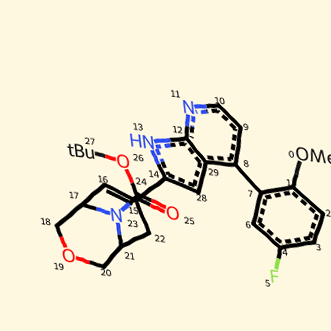 COc1ccc(F)cc1-c1ccnc2[nH]c(C3=CC4COCC(C3)N4C(=O)OC(C)(C)C)cc12